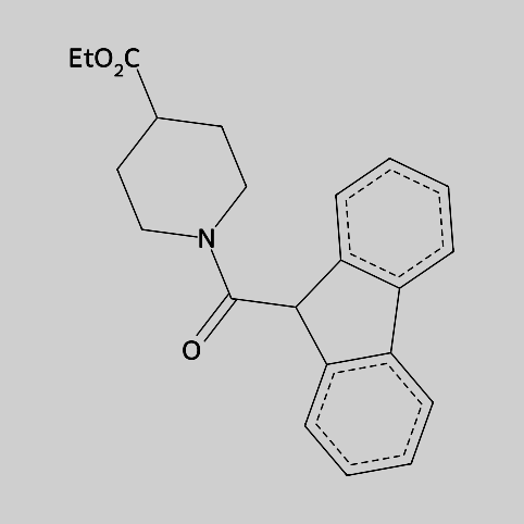 CCOC(=O)C1CCN(C(=O)C2c3ccccc3-c3ccccc32)CC1